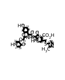 Cn1nnnc1SCC1=C(C(=O)O)N2C(=O)C(NC(=O)C(NC(=O)COc3c[nH]ccc3=O)c3ccc(O)cc3)[C@@H]2SC1